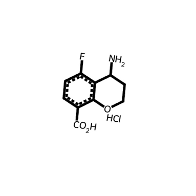 Cl.NC1CCOc2c(C(=O)O)ccc(F)c21